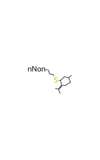 CCCCCCCCCCCCSC1CC(C)CCC1=C(C)C